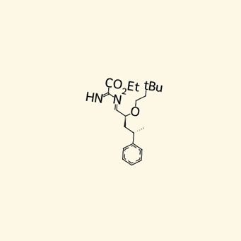 CCOC(=O)C(=N)/N=C/[C@H](C[C@H](C)c1ccccc1)OCCC(C)(C)C